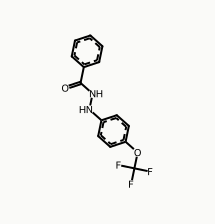 O=C(NNc1ccc(OC(F)(F)F)cc1)c1ccccc1